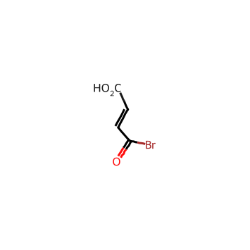 O=C(O)C=CC(=O)Br